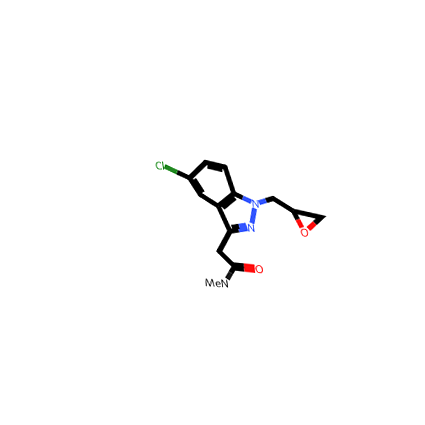 CNC(=O)Cc1nn(CC2CO2)c2ccc(Cl)cc12